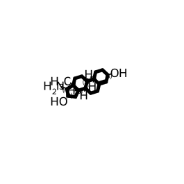 C[C@]12CC[C@H]3[C@@H](CCC4=C[C@@H](O)CC[C@@H]43)[C@@H]1C[C@@H](O)[C@@H]2N